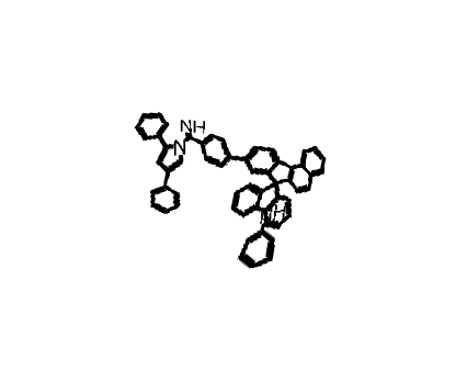 N=C(c1ccc(-c2ccc3c(c2)C(c2ccccc2)(c2ccccc2Nc2ccccc2)c2ccc4ccccc4c2-3)cc1)n1cc(-c2ccccc2)cc1-c1ccccc1